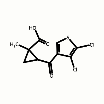 CC1(C(=O)O)CC1C(=O)c1csc(Cl)c1Cl